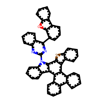 c1ccc2c(-c3cccc4c3oc3ccccc34)nc(-n3c4ccccc4c4c5c6ccccc6c6ccccc6c5c5c6ccccc6sc5c43)nc2c1